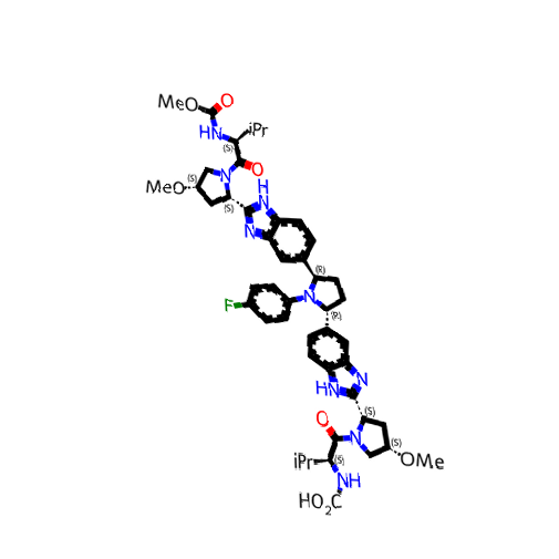 COC(=O)N[C@H](C(=O)N1C[C@@H](OC)C[C@H]1c1nc2cc([C@H]3CC[C@H](c4ccc5[nH]c([C@@H]6C[C@H](OC)CN6C(=O)[C@@H](NC(=O)O)C(C)C)nc5c4)N3c3ccc(F)cc3)ccc2[nH]1)C(C)C